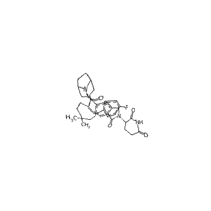 CC1(C)CCC(C(=O)N2C3CCC2CN(c2ccc4c(c2)CN(C2CCC(=O)NC2=O)C4=O)C3)=C(c2ccc(F)cc2)C1